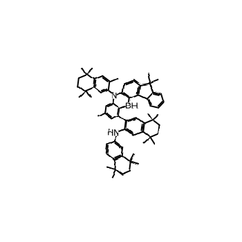 Cc1cc(-c2cc3c(cc2Nc2ccc4c(c2)C(C)(C)CCC4(C)C)C(C)(C)CCC3(C)C)c2c(c1)N(c1cc3c(cc1C)C(C)(C)CCC3(C)C)c1ccc3c(c1B2)-c1ccccc1C3(C)C